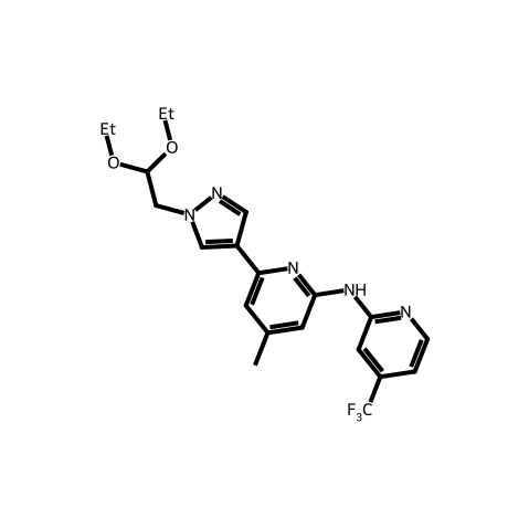 CCOC(Cn1cc(-c2cc(C)cc(Nc3cc(C(F)(F)F)ccn3)n2)cn1)OCC